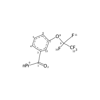 [CH2]CCC(=O)c1cccc(OC(F)(F)C(F)(F)F)c1